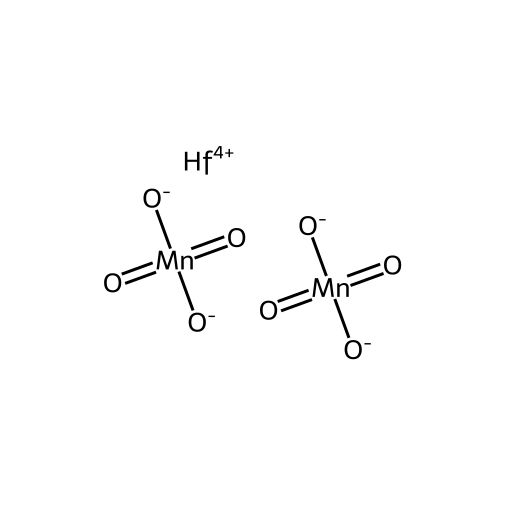 [Hf+4].[O]=[Mn](=[O])([O-])[O-].[O]=[Mn](=[O])([O-])[O-]